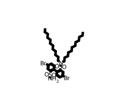 CCCCCCCCCCCCN(CCCCCCCCCCCC)S(=O)(=O)c1cc(Br)ccc1-c1ccc(Br)cc1S(N)(=O)=O